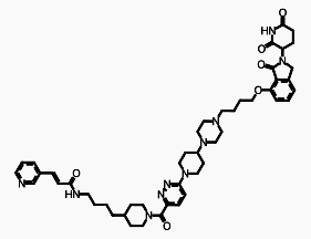 O=C(/C=C/c1cccnc1)NCCCCC1CCN(C(=O)c2ccc(N3CCC(N4CCN(CCCCOc5cccc6c5C(=O)N(C5CCC(=O)NC5=O)C6)CC4)CC3)nn2)CC1